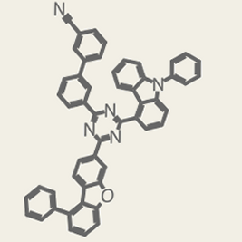 N#Cc1cccc(-c2cccc(-c3nc(-c4ccc5c(c4)oc4cccc(-c6ccccc6)c45)nc(-c4cccc5c4c4ccccc4n5-c4ccccc4)n3)c2)c1